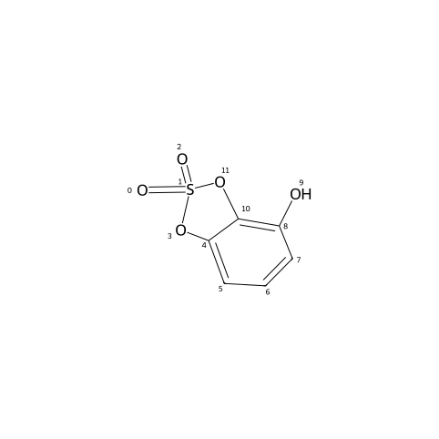 O=S1(=O)Oc2cccc(O)c2O1